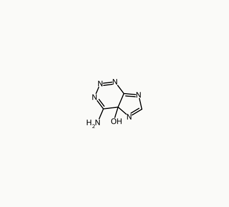 NC1=NN=NC2=NC=NC12O